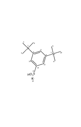 C[Si](C)(C)c1cc([Si](C)(C)C)cc(S(=O)(=O)O)c1.[K]